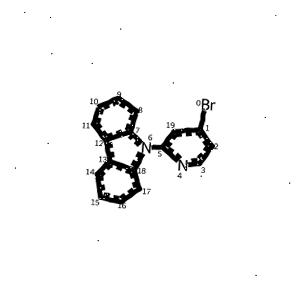 Brc1ccnc(-n2c3ccccc3c3ccccc32)c1